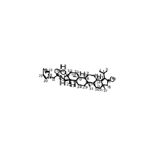 CC(C)C1=C2[C@H]3CC[C@@H]4[C@@]5(C)CC[C@@](O)(NC(=O)Cn6ccnc6)C(C)(C)[C@@H]5CC[C@@]4(C)[C@]3(C)CC[C@@]2(C)CC1=O